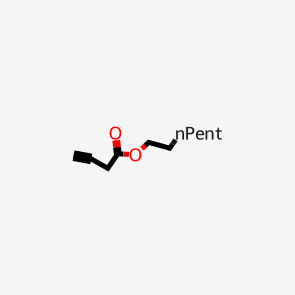 C#CCC(=O)OCCCCCCC